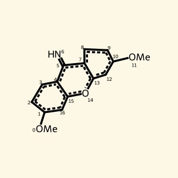 COc1ccc2c(=N)c3ccc(OC)cc3oc2c1